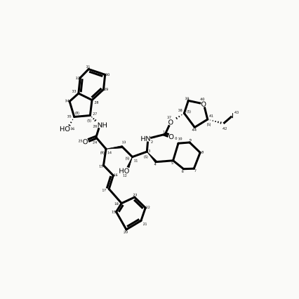 O=C(N[C@@H](CC1CCCCC1)[C@@H](O)C[C@@H](CC=Cc1ccccc1)C(=O)N[C@H]1c2ccccc2C[C@H]1O)O[C@@H]1CO[C@H](CI)C1